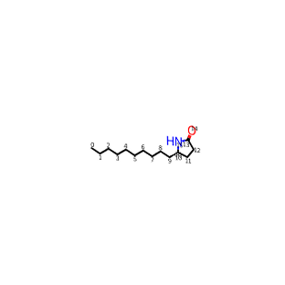 CCCCCCCCCC[C@@H]1CCC(=O)N1